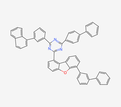 c1ccc(-c2ccc(-c3nc(-c4cccc(-c5cccc6ccccc56)c4)nc(-c4cccc5oc6c(-c7cccc(-c8ccccc8)c7)cccc6c45)n3)cc2)cc1